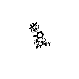 Cc1c(B2OC(C)(C)C(C)(C)O2)ccc(O[Si](C(C)C)(C(C)C)C(C)C)c1F